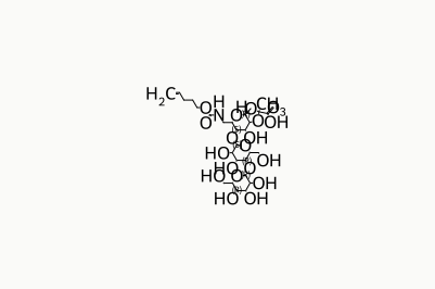 C=CCCCOC(=O)NCC1O[C@@H]2OC(C)(C(=O)O)OC2C(O)[C@@H]1O[C@@H]1OC(CO)[C@H](O[C@H]2OC(CO)[C@H](O)C(O)C2O)C(O)C1O